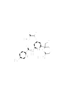 NC1=NC(CF)(c2cccc(NC(=O)c3ccc(Br)cn3)n2)COC1.O=C(OF)C(F)F